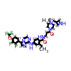 CCc1cc(Nc2nccn3c(-c4ccc(OC(F)F)c(F)c4F)cnc23)ccc1C(=O)NCCC(=O)N1CC[N+](C)(CC2CNC2)CC1